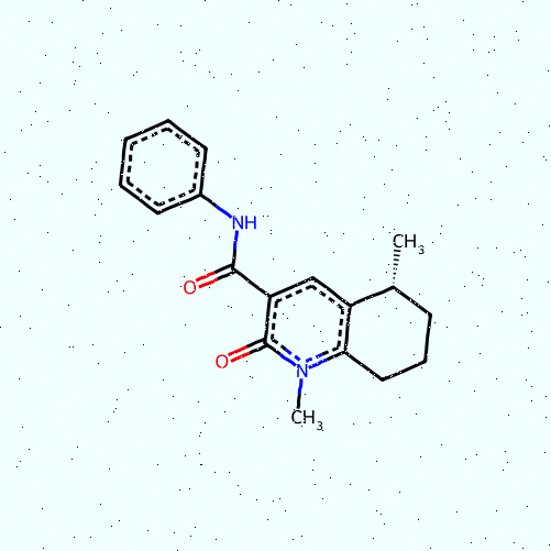 C[C@@H]1CCCc2c1cc(C(=O)Nc1ccccc1)c(=O)n2C